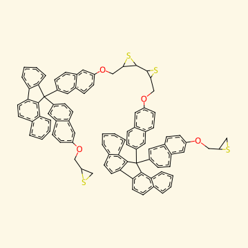 c1ccc2c(c1)-c1ccc3ccccc3c1C2(c1ccc2cc(OCC3CS3)ccc2c1)c1ccc2cc(OCC3SC3C3SC3COc3ccc4cc(C5(c6ccc7cc(OCC8CS8)ccc7c6)c6c(ccc7ccccc67)-c6ccc7ccccc7c65)ccc4c3)ccc2c1